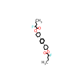 CCC[C@@H](F)C(=O)O[C@H]1CC[C@H](c2ccc([C@H]3CC[C@H](OC(=O)[C@H](F)CCC)CC3)cc2)CC1